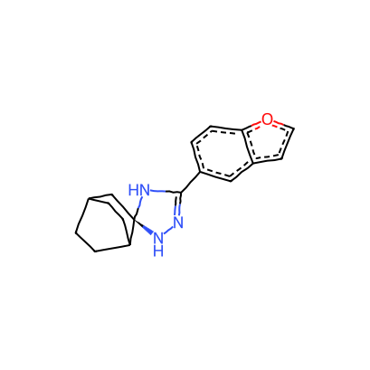 c1cc2cc(C3=NN[C@@]4(CC5CCC4CC5)N3)ccc2o1